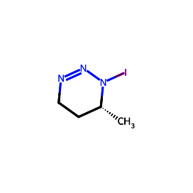 C[C@@H]1CCN=NN1I